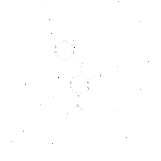 COC(=O)c1ccc(Nc2ccccc2)c(N)c1